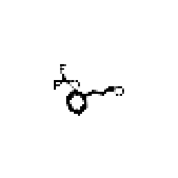 O=CCCc1ccccc1OC(F)F